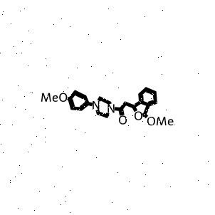 COc1ccc(N2CCN(C(=O)CC3OC(OC)c4ccccc43)CC2)cc1